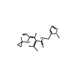 C=N/C(NC1(C)CC1)=C(\C)C(C(=O)NCc1ccnn1C)=C(C)C